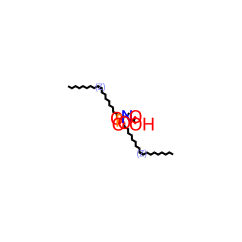 CCCCCCCC/C=C\CCCCCCCCOP(=O)(CN(C)CC(=O)O)OCCCCCCCC/C=C\CCCCCCCC